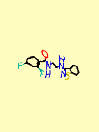 O=C(NCCNc1nsc2ccccc12)c1ccc(F)cc1F